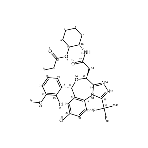 CCC(=O)OC1CCCC[C@@H]1NC(=O)C[C@@H]1O[C@@H](c2cccc(OC)c2Cl)c2cc(Cl)ccc2-n2c1nnc2C(F)(F)F